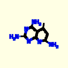 Cc1cc(N)nc2nc(N)nc(N)c12